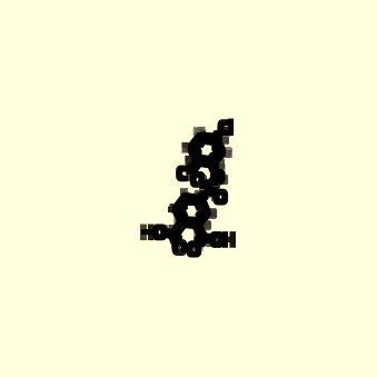 O=C(O)c1ccc(S(=O)(=O)Oc2cc(Cl)ccc2Cl)cc1C(=O)O